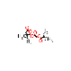 C=C(C)C(=O)OCC(=O)OC1OC(=O)CC1(C)C